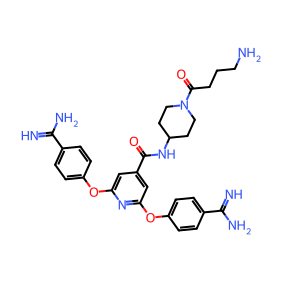 N=C(N)c1ccc(Oc2cc(C(=O)NC3CCN(C(=O)CCCN)CC3)cc(Oc3ccc(C(=N)N)cc3)n2)cc1